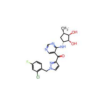 [CH2][C@@H]1C[C@@H](Nc2ncncc2C(=O)c2ccn(Cc3ccc(F)cc3Cl)n2)[C@H](O)[C@@H]1O